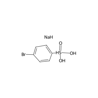 O=[SH](O)(O)c1ccc(Br)cc1.[NaH]